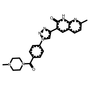 Cc1ccc2cc(-c3cn(-c4ccc(C(=O)N5CCN(C)CC5)cc4)nn3)c(=O)[nH]c2n1